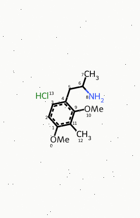 COc1ccc(CC(C)N)c(OC)c1C.Cl